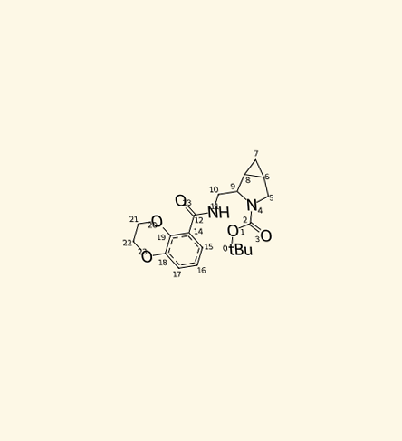 CC(C)(C)OC(=O)N1CC2CC2C1CNC(=O)c1cccc2c1OCCO2